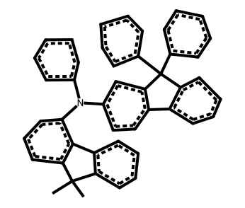 CC1(C)c2ccccc2-c2c(N(c3ccccc3)c3ccc4c(c3)C(c3ccccc3)(c3ccccc3)c3ccccc3-4)cccc21